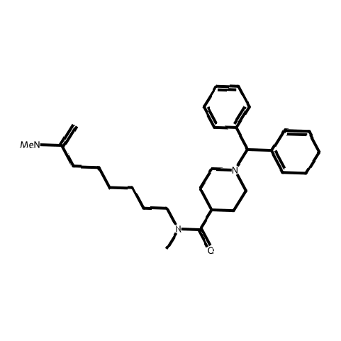 C=C(CCCCCCN(C)C(=O)C1CCN(C(C2=CCCC=C2)c2ccccc2)CC1)NC